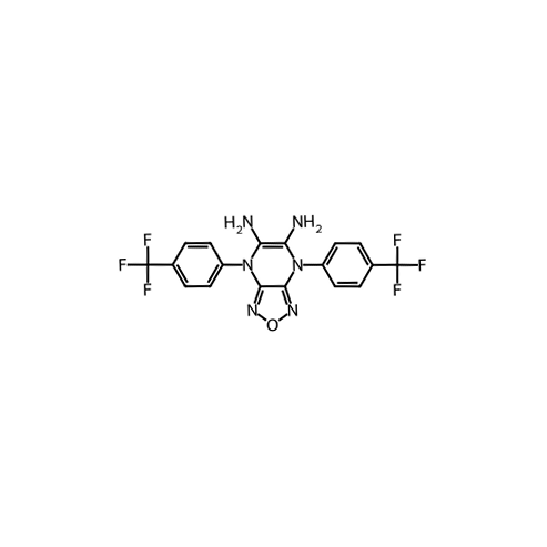 NC1=C(N)N(c2ccc(C(F)(F)F)cc2)c2nonc2N1c1ccc(C(F)(F)F)cc1